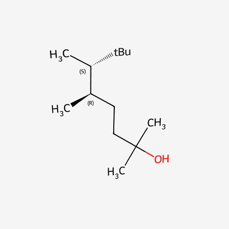 C[C@H](CCC(C)(C)O)[C@H](C)C(C)(C)C